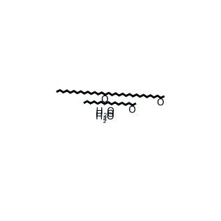 CCCCCCCCCCCCCCC(=O)CCCCCCCCCCCCCCCC(C)=O.CCCCCCCCCCCCCCC(C)=O.O.O.O